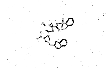 C=C[C@@H]1C[C@]1(NC(=O)[C@@H]1CN(Cc2ccc3ccccc3c2)C[C@@H]1N(C)C(C)=O)C(=O)NS(=O)(=O)c1ccccc1NC